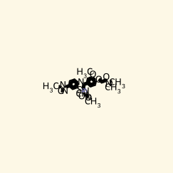 COC(=O)/N=C(\SC)C(=Nc1ccc(-c2noc(C)n2)cc1)c1ccc(OCC(=O)N(C)C)c(OC)c1